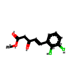 CC(C)OC(=O)CC(=O)C=Cc1cccc(Cl)c1Cl